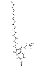 CCCCCCCCCCCCCCCCCc1nc2cc(C#N)ccc2n1CCCN(C)C